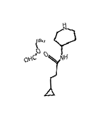 CC(C)(C)OC=O.O=C(CCC1CC1)NC1CCNCC1